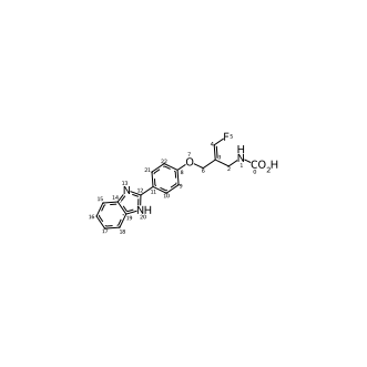 O=C(O)NCC(=CF)COc1ccc(-c2nc3ccccc3[nH]2)cc1